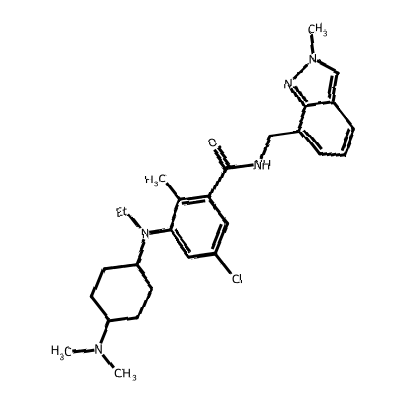 CCN(c1cc(Cl)cc(C(=O)NCc2cccc3cn(C)nc23)c1C)C1CCC(N(C)C)CC1